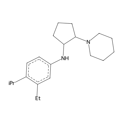 CCc1cc(NC2CCCC2N2CCCCC2)ccc1C(C)C